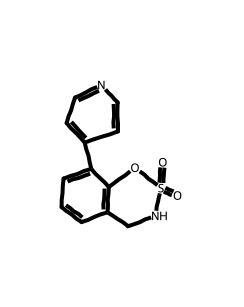 O=S1(=O)NCc2cccc(-c3ccncc3)c2O1